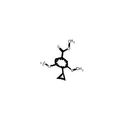 COC(=O)c1cc(OC)c(C2CC2)c(OC)c1